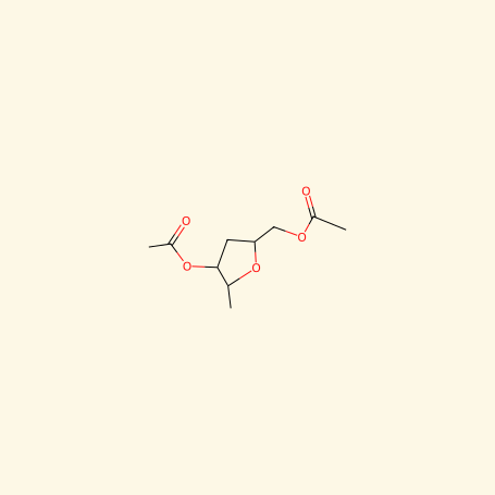 CC(=O)OCC1CC(OC(C)=O)C(C)O1